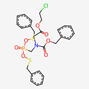 O=C(CN(CP(=O)(OSCc1ccccc1)OSCc1ccccc1)C(=O)OCc1ccccc1)OCCCl